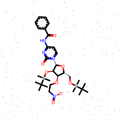 CC(C)(C)[Si](C)(C)OC[C@H]1O[C@@H](n2ccc(NC(=O)c3ccccc3)nc2=O)[C@H](O[Si](C)(C)C(C)(C)C)[C@@H]1OCC[N+](=O)[O-]